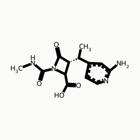 CNC(=O)N1C(=O)[C@H](C(C)c2ccnc(N)c2)C1C(=O)O